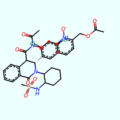 CC(=O)OCc1cccc(CON(C(C)=O)C(=O)C2c3ccccc3C(=O)N(C3CCCCC3NS(C)(=O)=O)[C@H]2c2ccc(Cl)cc2Cl)[n+]1[O-]